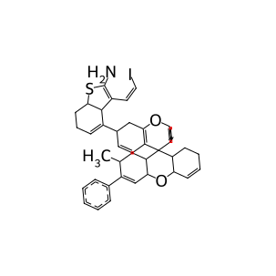 CC1CC2C(C=C1c1ccccc1)OC1C=CCCC1C21C2=CC=CCC2OC2=C1C=CC(C1=CCCC3SC(N)=C(/C=C\I)C13)C2